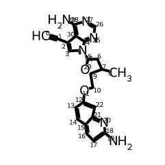 C#Cc1cn([C@H]2CC(C)C(COc3ccc4ccc(N)nc4c3)O2)c2ncnc(N)c12